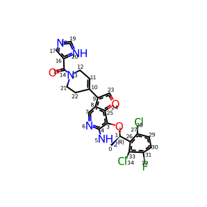 C[C@@H](Oc1c(N)ncc2c(C3=CCN(C(=O)c4cnc[nH]4)CC3)coc12)c1c(Cl)ccc(F)c1Cl